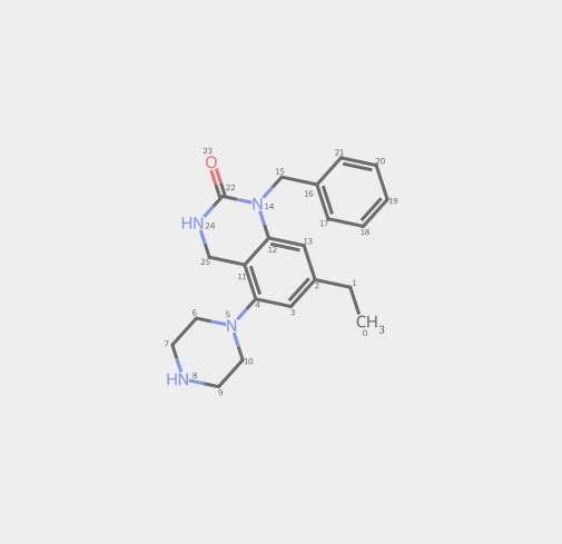 CCc1cc(N2CCNCC2)c2c(c1)N(Cc1ccccc1)C(=O)NC2